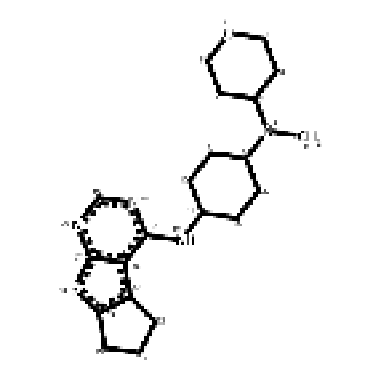 CN(C1CCOCC1)C1CCC(Nc2ncnc3sc4c(c23)CCC4)CC1